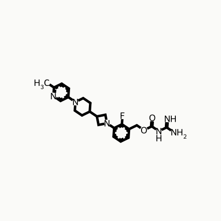 Cc1ccc(N2CCC(C3CN(c4cccc(COC(=O)NC(=N)N)c4F)C3)CC2)cn1